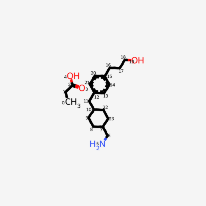 CCC(=O)O.NCC1CCC(Cc2ccc(CCCO)cc2)CC1